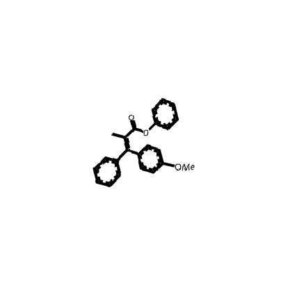 COc1ccc(C(=C(C)C(=O)Oc2ccccc2)c2ccccc2)cc1